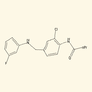 CCCC(=O)Nc1ccc(CNc2cccc(F)c2)cc1Cl